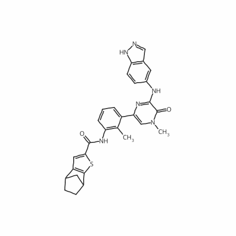 Cc1c(NC(=O)c2cc3c(s2)C2CCC3C2)cccc1-c1cn(C)c(=O)c(Nc2ccc3[nH]ncc3c2)n1